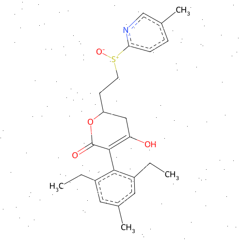 CCc1cc(C)cc(CC)c1C1=C(O)CC(CC[S+]([O-])c2ccc(C)cn2)OC1=O